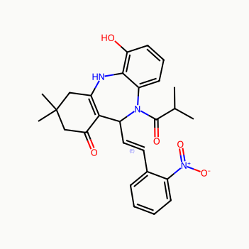 CC(C)C(=O)N1c2cccc(O)c2NC2=C(C(=O)CC(C)(C)C2)C1/C=C/c1ccccc1[N+](=O)[O-]